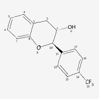 O[C@H]1Cc2ccccc2O[C@@H]1c1ccc(C(F)(F)F)cc1